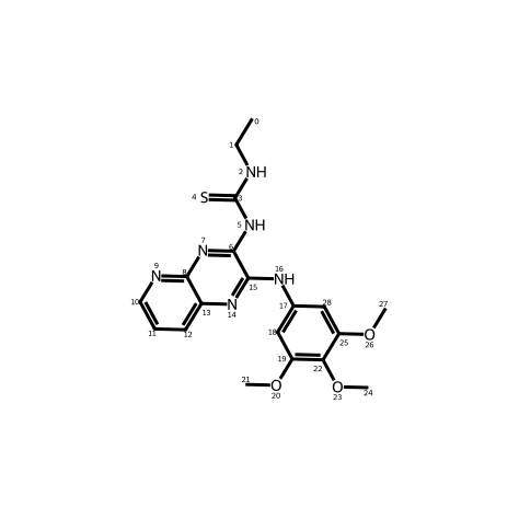 CCNC(=S)Nc1nc2ncccc2nc1Nc1cc(OC)c(OC)c(OC)c1